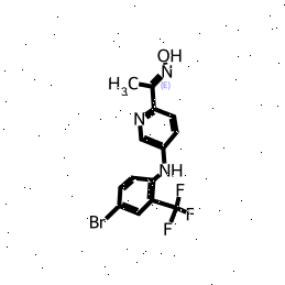 C/C(=N\O)c1ccc(Nc2ccc(Br)cc2C(F)(F)F)cn1